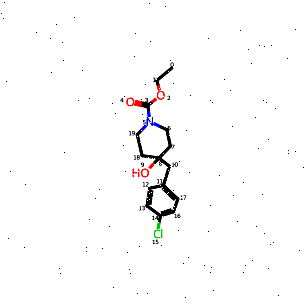 CCOC(=O)N1CCC(O)(Cc2ccc(Cl)cc2)CC1